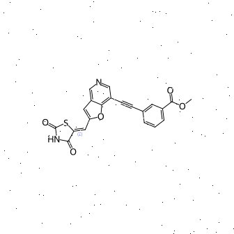 COC(=O)c1cccc(C#Cc2cncc3cc(/C=C4\SC(=O)NC4=O)oc23)c1